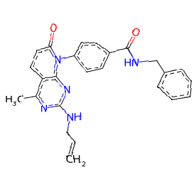 C=CCNc1nc(C)c2ccc(=O)n(-c3ccc(C(=O)NCc4ccccc4)cc3)c2n1